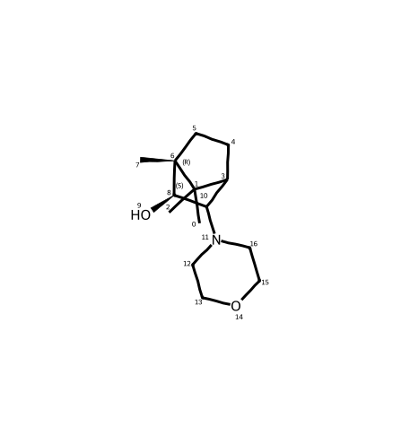 CC1(C)C2CC[C@@]1(C)[C@H](O)C2N1CCOCC1